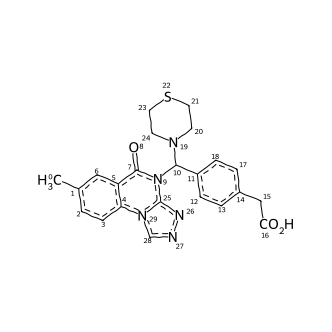 Cc1ccc2c(c1)c(=O)n(C(c1ccc(CC(=O)O)cc1)N1CCSCC1)c1nncn21